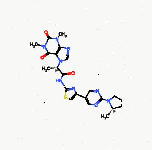 C[C@H]1CCCN1c1ncc(-c2csc(NC(=O)[C@H](C)n3cnc4c3c(=O)n(C)c(=O)n4C)n2)cn1